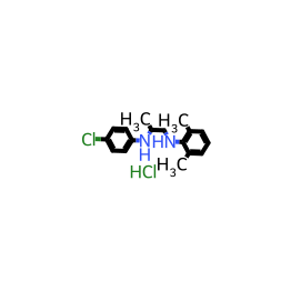 Cc1cccc(C)c1NCC(C)Nc1ccc(Cl)cc1.Cl